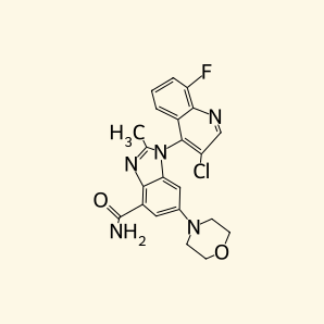 Cc1nc2c(C(N)=O)cc(N3CCOCC3)cc2n1-c1c(Cl)cnc2c(F)cccc12